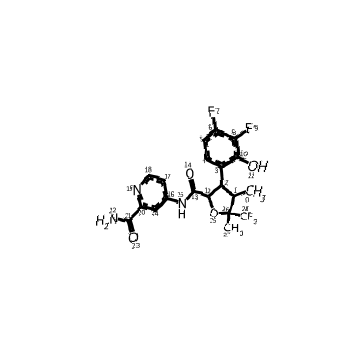 CC1C(c2ccc(F)c(F)c2O)C(C(=O)Nc2ccnc(C(N)=O)c2)OC1(C)C(F)(F)F